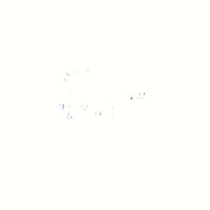 COc1ccc(COCC(Cn2ccnc2)OCCCCC(C)(C)C(=O)O)cc1